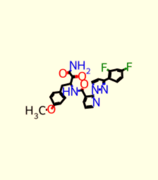 COc1ccc(CC(NC(=O)c2cccnc2-n2ccc(-c3ccc(F)cc3F)n2)C(=O)C(N)=O)cc1